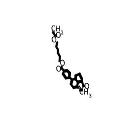 C=CC(=O)OCCCCCCOC(=O)C1=C=C=C(c2ccc3c4c(cccc24)C(=O)N3C)C=C1